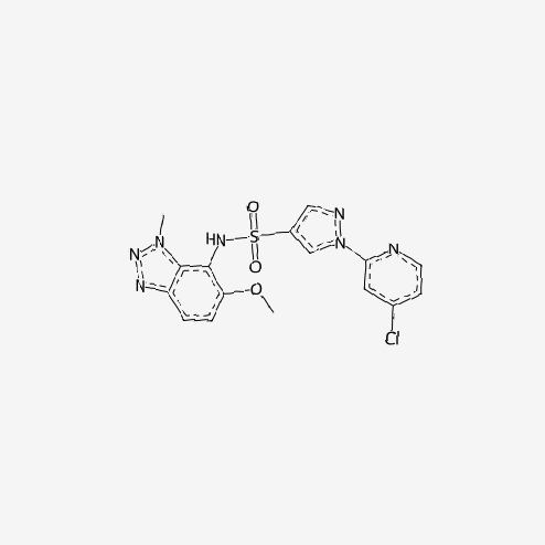 COc1ccc2nnn(C)c2c1NS(=O)(=O)c1cnn(-c2cc(Cl)ccn2)c1